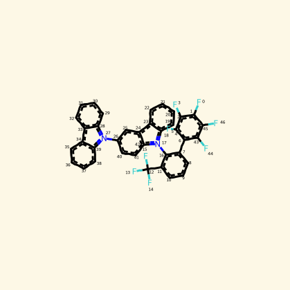 Fc1c(F)c(F)c(-c2cccc(C(F)(F)F)c2-n2c3ccccc3c3cc(-n4c5ccccc5c5ccccc54)ccc32)c(F)c1F